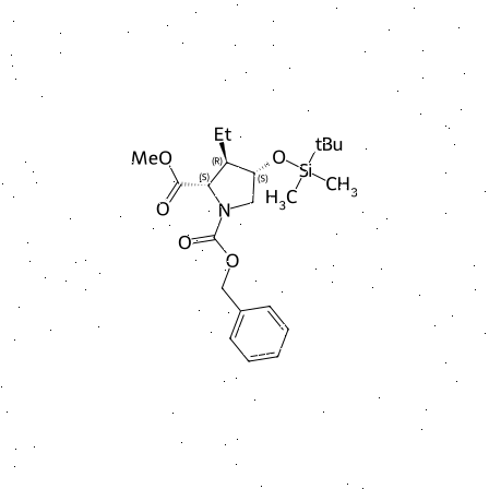 CC[C@@H]1[C@@H](C(=O)OC)N(C(=O)OCc2ccccc2)C[C@H]1O[Si](C)(C)C(C)(C)C